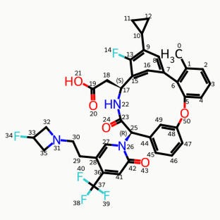 Cc1cccc2c1-c1cc(C3CC3)c(F)c(c1)[C@H](CC(=O)O)NC(=O)[C@H](n1cc(CCN3CC(F)C3)c(C(F)(F)F)cc1=O)c1cccc(c1)O2